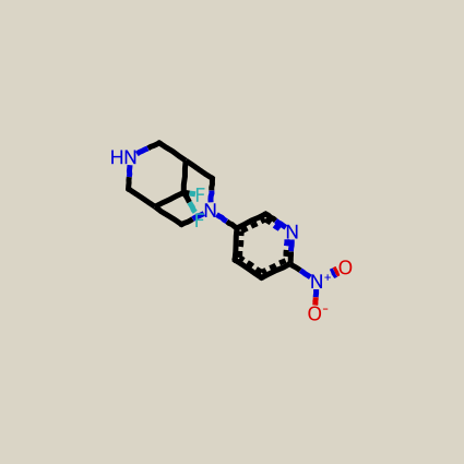 O=[N+]([O-])c1ccc(N2CC3CNCC(C2)C3(F)F)cn1